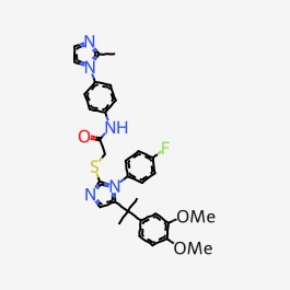 COc1ccc(C(C)(C)c2cnc(SCC(=O)Nc3ccc(-n4ccnc4C)cc3)n2-c2ccc(F)cc2)cc1OC